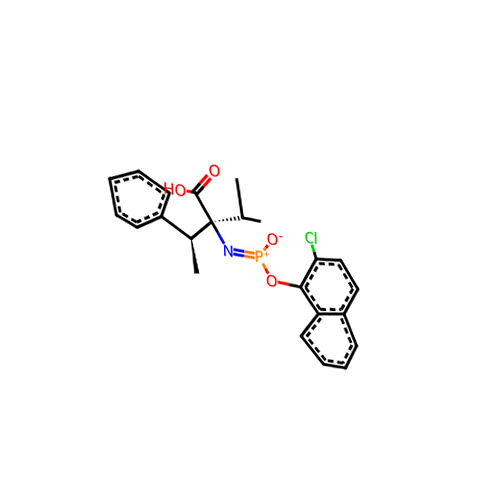 CC(C)[C@@](/N=[P+](\[O-])Oc1c(Cl)ccc2ccccc12)(C(=O)O)[C@@H](C)c1ccccc1